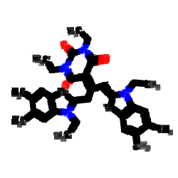 CCN1C(=O)C(=C(C=C2[Te]c3cc(C)c(C)cc3N2CC)C=C2[Te]c3cc(C)c(C)cc3N2CC)C(=O)N(CC)C1=O